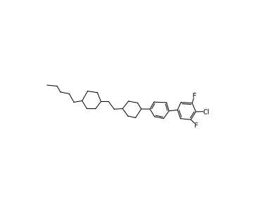 CCCCCC1CCC(CCC2CCC(c3ccc(-c4cc(F)c(Cl)c(F)c4)cc3)CC2)CC1